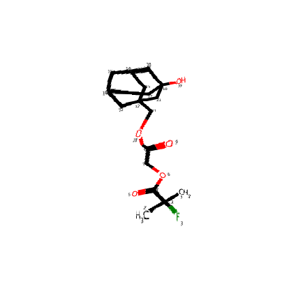 CC(C)(F)C(=O)OCC(=O)OCC12CC3CC(CC(O)(C3)C1)C2